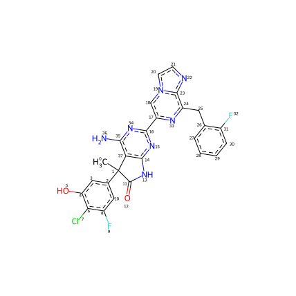 CC1(c2cc(O)c(Cl)c(F)c2)C(=O)Nc2nc(-c3cn4ccnc4c(Cc4ccccc4F)n3)nc(N)c21